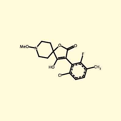 CON1CCC2(CC1)OC(=O)C(c1c(Cl)ccc(C)c1F)=C2O